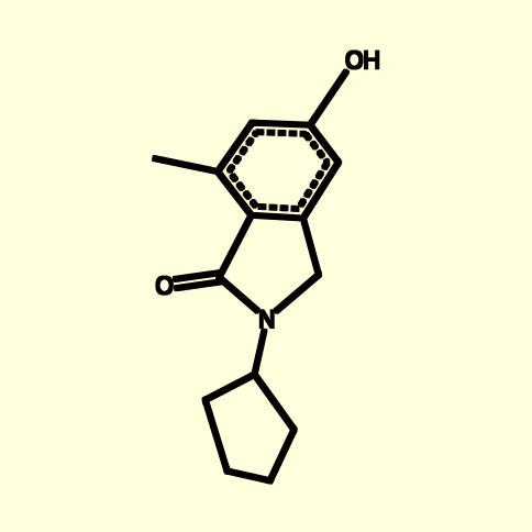 Cc1cc(O)cc2c1C(=O)N(C1CCCC1)C2